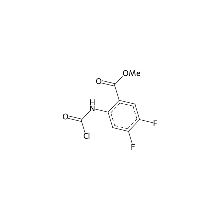 COC(=O)c1cc(F)c(F)cc1NC(=O)Cl